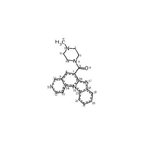 CN1CCN(C(=O)c2cc3cnccc3n3c2nc2ccccc23)CC1